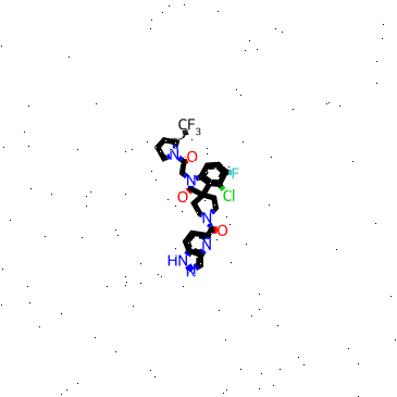 O=C(c1ccc2[nH]ncc2n1)N1CCC2(CC1)C(=O)N(CC(=O)N1CCC[C@@H]1CC(F)(F)F)c1ccc(F)c(Cl)c12